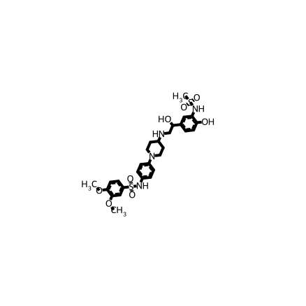 COc1ccc(S(=O)(=O)Nc2ccc(N3CCC(NCC(O)c4ccc(O)c(NS(C)(=O)=O)c4)CC3)cc2)cc1OC